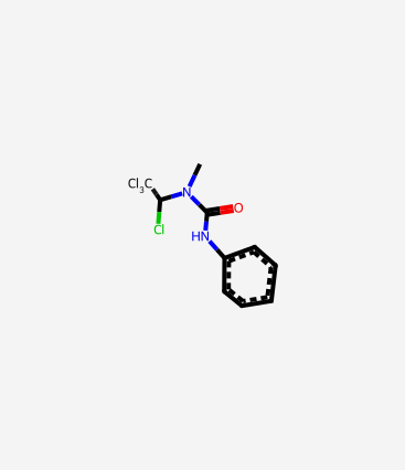 CN(C(=O)Nc1ccccc1)C(Cl)C(Cl)(Cl)Cl